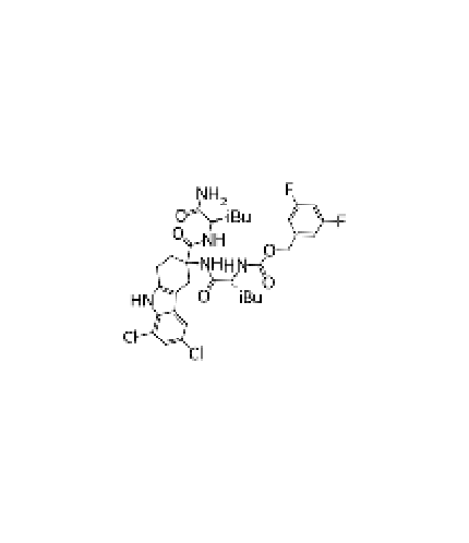 CC[C@H](C)C(NC(=O)[C@@]1(NC(=O)C(NC(=O)OCc2cc(F)cc(F)c2)[C@@H](C)CC)CCc2[nH]c3c(Cl)cc(Cl)cc3c2C1)C(N)=O